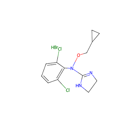 Br.Clc1cccc(Cl)c1N(OCC1CC1)C1=NCCN1